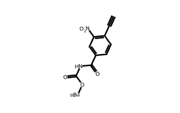 C#Cc1ccc(C(=O)NC(=O)OCCCC)cc1[N+](=O)[O-]